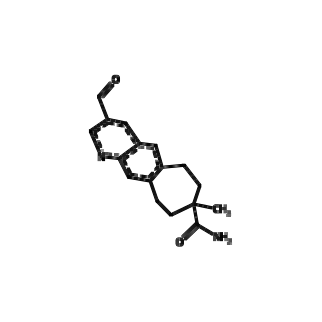 CC1(C(N)=O)CCc2cc3cc(C=O)cnc3cc2CC1